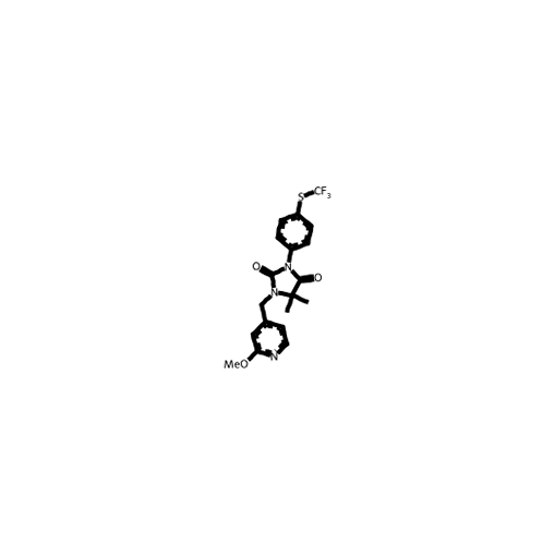 COc1cc(CN2C(=O)N(c3ccc(SC(F)(F)F)cc3)C(=O)C2(C)C)ccn1